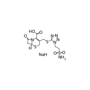 NS(=O)(=O)CCn1nnnc1SCC1=C(C(=O)O)N2C(=O)C[C@H]2SC1.[NaH]